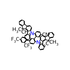 CC1(C)c2ccccc2-c2ccc3c(c21)c1ccccc1n3-c1ccc(C#N)cc1-c1cc(-c2ccc(C(F)(F)F)cc2C(F)(F)F)ccc1-n1c2ccccc2c2c3c(ccc21)-c1ccccc1C3(C)C